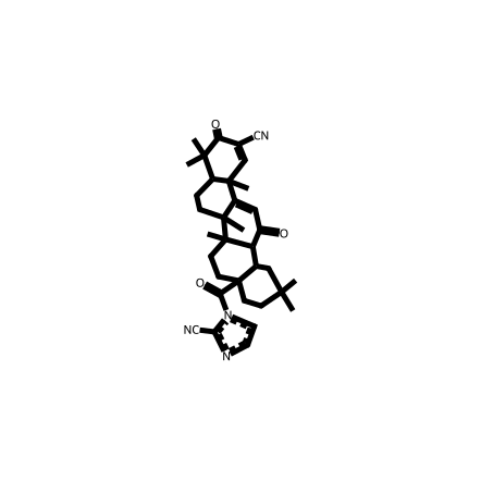 CC1(C)CCC2(C(=O)n3ccnc3C#N)CCC3(C)C(C(=O)C=C4C5(C)C=C(C#N)C(=O)C(C)(C)C5CCC43C)C2C1